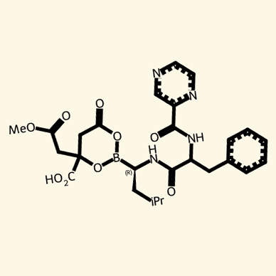 COC(=O)CC1(C(=O)O)CC(=O)OB([C@H](CC(C)C)NC(=O)C(Cc2ccccc2)NC(=O)c2cnccn2)O1